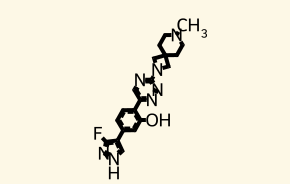 CN1CCC2(CC1)CN(c1ncc(-c3ccc(-c4c[nH]nc4F)cc3O)nn1)C2